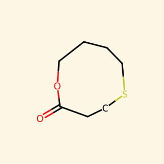 O=C1CCSCCCCO1